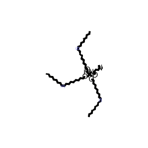 CCCCCCCC/C=C\CCCCCCCCOCC(COCCCCCCCC/C=C\CCCCCCCC)(COCCCCCCCC/C=C\CCCCCCCC)NC(=O)CCN(C)C